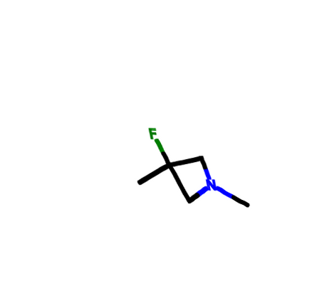 CN1CC(C)(F)C1